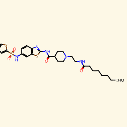 O=CCCCCCCC(=O)NCCN1CCC(C(=O)Nc2nc3ccc(NS(=O)(=O)c4cccs4)cc3s2)CC1